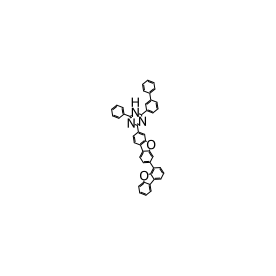 c1ccc(C2=NC(c3ccc4c(c3)oc3cc(-c5cccc6c5oc5ccccc56)ccc34)=NC(c3cccc(-c4ccccc4)c3)N2)cc1